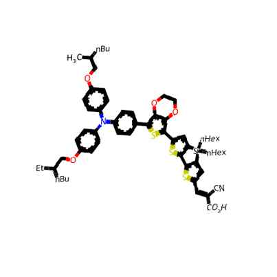 CCCCCC[Si]1(CCCCCC)c2cc(/C=C(\C#N)C(=O)O)sc2-c2sc(-c3sc(-c4ccc(N(c5ccc(OCC(C)CCCC)cc5)c5ccc(OCC(CC)CCCC)cc5)cc4)c4c3OCCO4)cc21